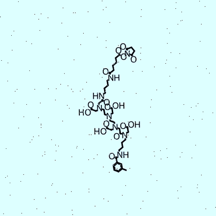 Cc1cccc(C(=O)NCCCCN(CC(=O)O)C(=O)CN(CCN(CCN(CC(=O)O)CC(=O)NCCCCNC(=O)CCCCC(=O)ON2C(=O)CCC2=O)CC(=O)O)CC(=O)O)c1